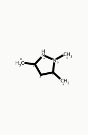 CC1CC(C)N(C)N1